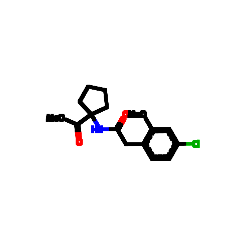 COC(=O)C1(NC(=O)Cc2ccc(Cl)cc2OC)CCCC1